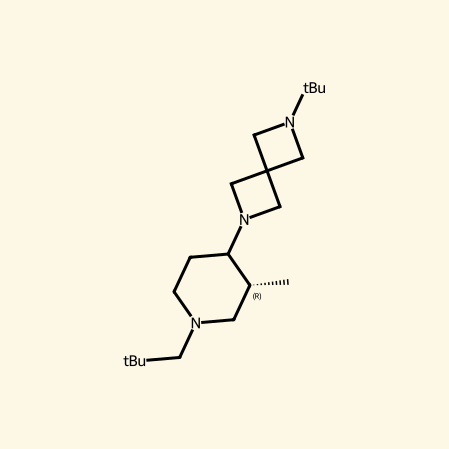 C[C@@H]1CN(CC(C)(C)C)CCC1N1CC2(C1)CN(C(C)(C)C)C2